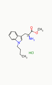 CCCCn1cc(C[C@H](N)C(=O)OC)c2ccccc21.Cl